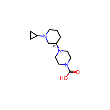 O=C(O)N1CCN([C@@H]2CCCN(C3CC3)C2)CC1